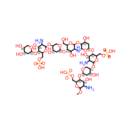 CO[C@H]1OC(COS(=O)(=O)O)[C@@H](O[C@H]2C[C@H](O)[C@@H](O[C@@H]3OC(COS(=O)(=O)O)[C@@H](O[C@H]4C[C@H](O)[C@@H](OC5OC(CO)[C@@H](O[C@H]6C[C@H](O)C(O[C@@H]7OC(COS(=O)(=O)O)[C@@H](O[C@H]8C[C@H](O)[C@H](O)CO8)[C@H](O)C7N)CO6)[C@H](O)C5N)CO4)[C@H](O)C3N)CO2)[C@H](O)C1N